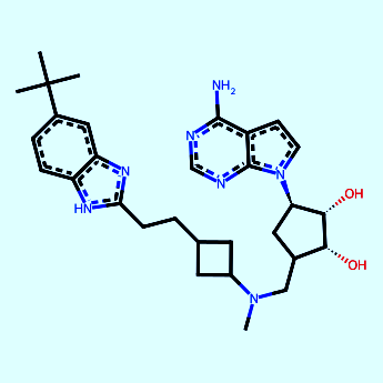 CN(CC1C[C@@H](n2ccc3c(N)ncnc32)[C@H](O)[C@@H]1O)C1CC(CCc2nc3cc(C(C)(C)C)ccc3[nH]2)C1